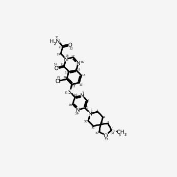 C[C@H]1CC2(CCN(c3cnc(Sc4ccc5ncn(CC(N)=O)c(=O)c5c4Cl)cn3)CC2)CO1